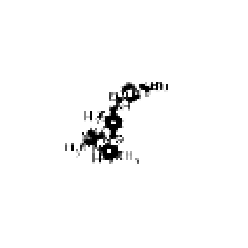 Cc1ccc2c(c1)N(C(=O)c1ccc(CNC(=O)N3CCN(CCC(C)(C)C)CC3)c(C)c1)Cc1cnn(C)c1N2